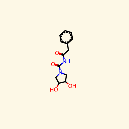 O=C(Cc1ccccc1)NC(=O)N1CC(O)C(O)C1